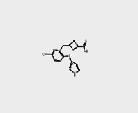 O=C(O)C1CC(Cc2cc(Cl)ccc2Nc2cc[nH]n2)C1